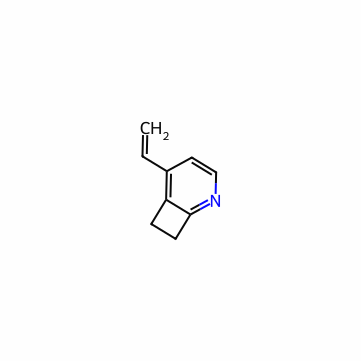 C=Cc1ccnc2c1CC2